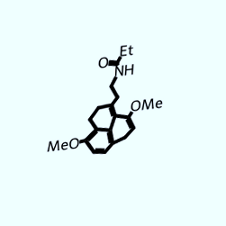 CCC(=O)NCCC1=C2C(OC)=CCc3ccc(OC)c(c32)CC1